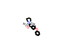 CC(C)(C(=O)c1ccc(Oc2ccccc2)cc1)N1CCCCC1